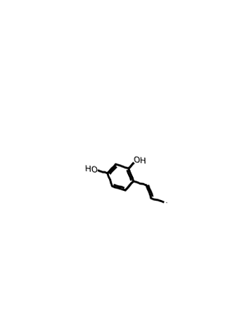 [CH2]C=Cc1ccc(O)cc1O